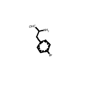 NC(C=O)Cc1ccc(Br)cc1